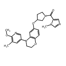 COc1ncc(N2CCOc3ccc(OC4CCN(C(=O)c5cncn5C)C4)cc32)cc1C